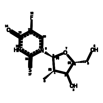 C[C@H]1C(O)[C@@H](CO)O[C@H]1n1cc(F)c(=O)[nH]c1=S